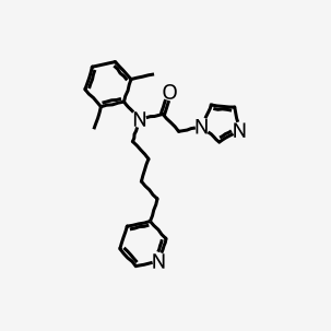 Cc1cccc(C)c1N(CCCCc1cccnc1)C(=O)Cn1ccnc1